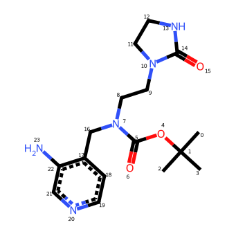 CC(C)(C)OC(=O)N(CCN1CCNC1=O)Cc1ccncc1N